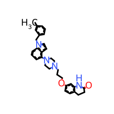 Cc1cccc(Cn2ccc3c(N4CCN(CCCOc5ccc6c(c5)NC(=O)CC6)CC4)cccc32)c1